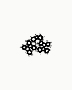 c1ccc2c(c1)-c1ccccc1C21c2ccccc2-c2ccc(N(c3cccc4c3-c3ccccc3C43c4ccccc4-c4ccccc43)c3cccc4sc5ccccc5c34)cc21